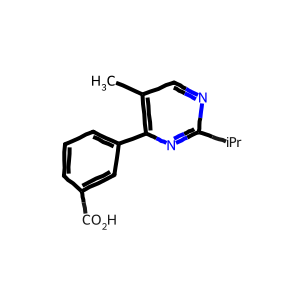 Cc1cnc(C(C)C)nc1-c1cccc(C(=O)O)c1